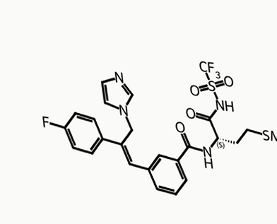 CSCC[C@H](NC(=O)c1cccc(C=C(Cn2ccnc2)c2ccc(F)cc2)c1)C(=O)NS(=O)(=O)C(F)(F)F